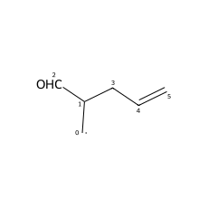 [CH2]C(C=O)CC=C